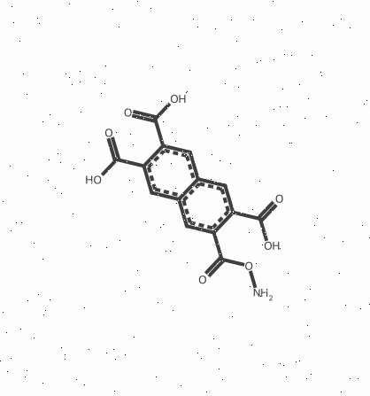 NOC(=O)c1cc2cc(C(=O)O)c(C(=O)O)cc2cc1C(=O)O